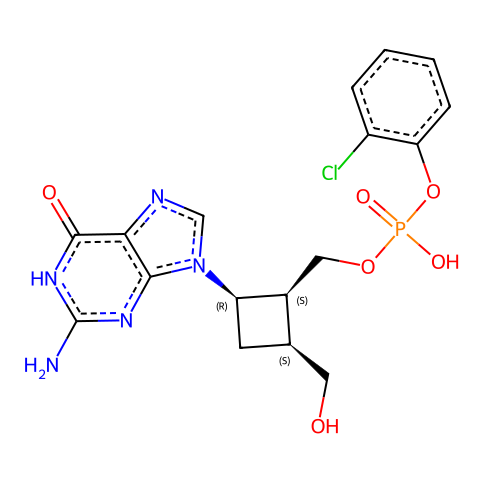 Nc1nc2c(ncn2[C@@H]2C[C@H](CO)[C@@H]2COP(=O)(O)Oc2ccccc2Cl)c(=O)[nH]1